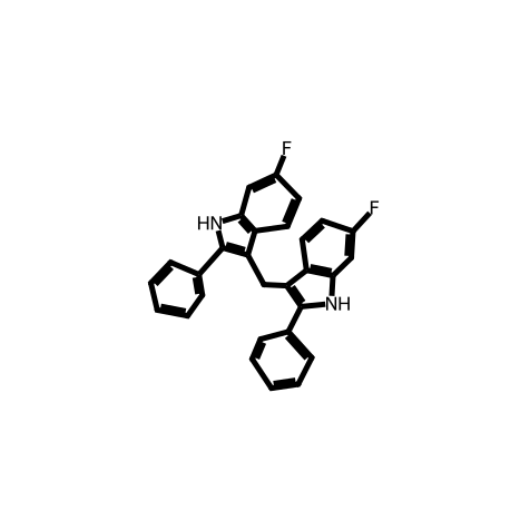 Fc1ccc2c(Cc3c(-c4ccccc4)[nH]c4cc(F)ccc34)c(-c3ccccc3)[nH]c2c1